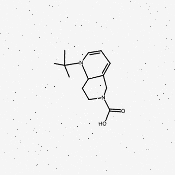 CC(C)(C)N1C=CC=C2CN(C(=O)O)CCC21